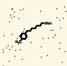 [CH2]c1ccc(CCCCCCCCCCCCCCCC)cc1